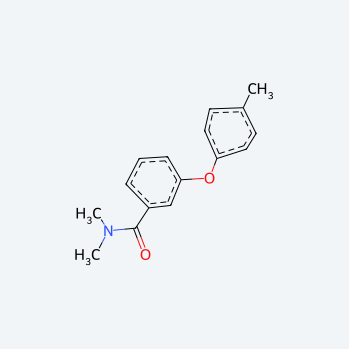 Cc1ccc(Oc2cccc(C(=O)N(C)C)c2)cc1